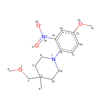 COCC1(C)CCN(c2ccc(OC)cc2[N+](=O)[O-])CC1